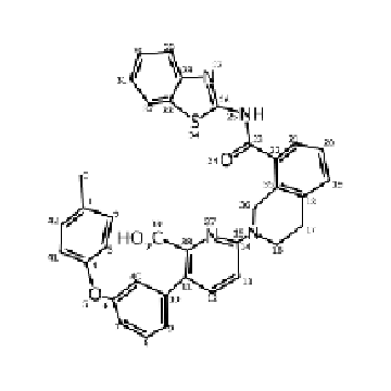 Cc1ccc(Oc2cccc(-c3ccc(N4CCc5cccc(C(=O)Nc6nc7ccccc7s6)c5C4)nc3C(=O)O)c2)cc1